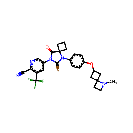 CN1CCC12CC(Oc1ccc(N3C(=S)N(c4cnc(C#N)c(C(F)(F)F)c4)C(=O)C34CCC4)cc1)C2